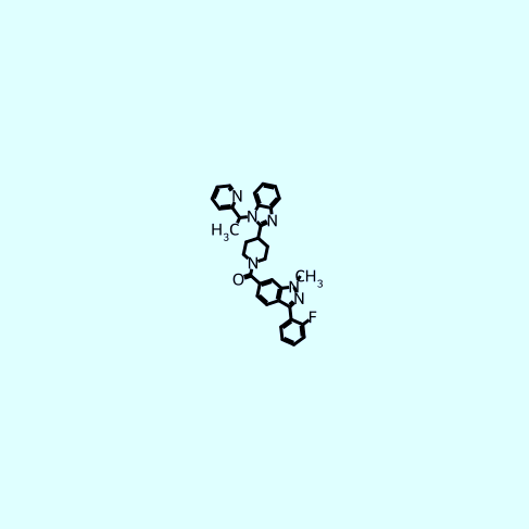 CC(c1ccccn1)n1c(C2CCN(C(=O)c3ccc4c(-c5ccccc5F)nn(C)c4c3)CC2)nc2ccccc21